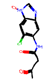 CC(=O)CC(=O)Nc1cc2c(cc1Cl)[NH+]([O-])C=N2